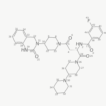 O=C(N[C@@H](CC(=O)N1CCC(N2Cc3ccccc3NC2=O)CC1)C(=O)N1CCC(N2CCCCC2)CC1)c1cccc(F)c1